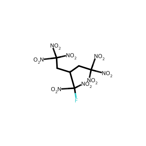 O=[N+]([O-])C(F)([C](CC([N+](=O)[O-])([N+](=O)[O-])[N+](=O)[O-])CC([N+](=O)[O-])([N+](=O)[O-])[N+](=O)[O-])[N+](=O)[O-]